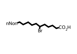 CCCCCCCCCCCCCCC(Br)CCCCC(=O)O